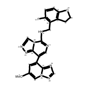 COc1cc(-c2cnc(NCc3c(F)ccc4c3CCO4)n3cnnc23)c2ncnn2c1